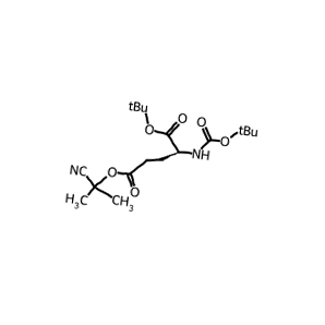 CC(C)(C)OC(=O)N[C@@H](CCC(=O)OC(C)(C)C#N)C(=O)OC(C)(C)C